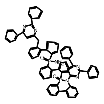 NP(=O)(c1ccccc1-c1ccccc1Cc1cc(-c2ccccc2)nc(-c2ccccc2)n1)c1ccccc1-c1ccccc1P1(=O)c2ccccc2-c2ccccc2N1c1cc(-c2ccccc2)nc(-c2ccccc2)n1